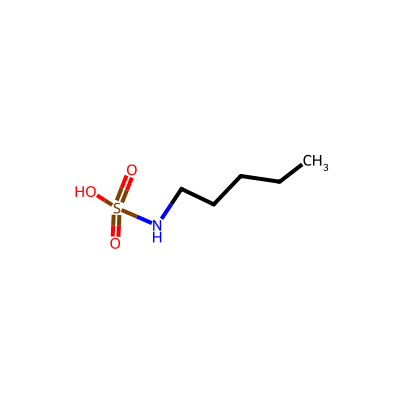 CCCCCNS(=O)(=O)O